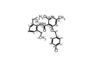 CCc1cccc(CC)c1NC(=O)c1c(OCc2ccc(Cl)cc2)cc(C)nc1C